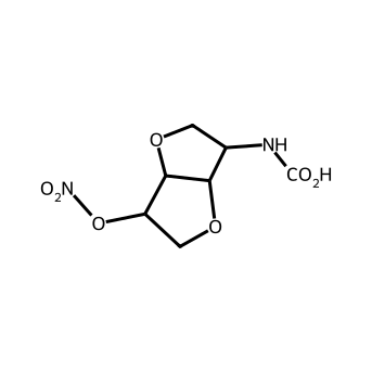 O=C(O)NC1COC2C(O[N+](=O)[O-])COC12